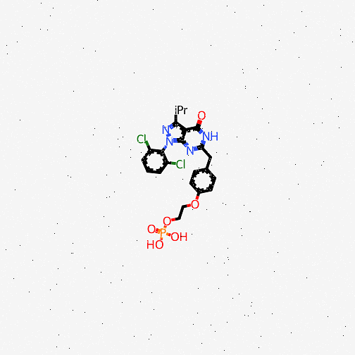 CC(C)c1nn(-c2c(Cl)cccc2Cl)c2nc(Cc3ccc(OCCOP(=O)(O)O)cc3)[nH]c(=O)c12